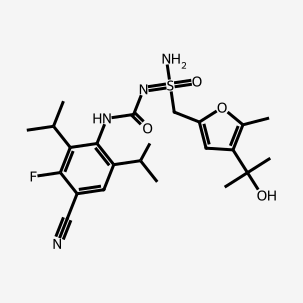 Cc1oc(CS(N)(=O)=NC(=O)Nc2c(C(C)C)cc(C#N)c(F)c2C(C)C)cc1C(C)(C)O